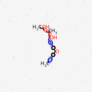 CCC(O)COCC(C)OCC(O)CN1CCN(c2ccc(C(=O)c3ccc(N4CCN(C)CC4)cc3)cc2)CC1